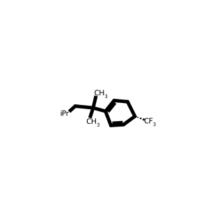 CC(C)CC(C)(C)C1=CC[C@H](C(F)(F)F)C=C1